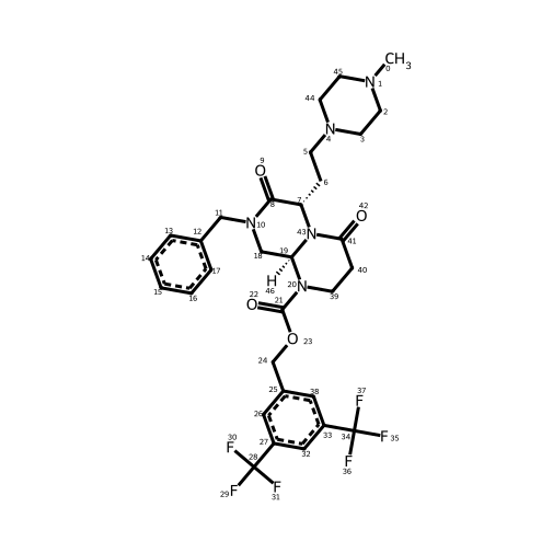 CN1CCN(CC[C@H]2C(=O)N(Cc3ccccc3)C[C@@H]3N(C(=O)OCc4cc(C(F)(F)F)cc(C(F)(F)F)c4)CCC(=O)N32)CC1